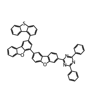 c1ccc(-c2nc(-c3ccccc3)nc(-c3ccc4c(c3)oc3ccc(-c5cc(-c6cccc7sc8ccccc8c67)cc6c5oc5ccccc56)cc34)n2)cc1